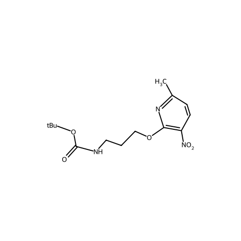 Cc1ccc([N+](=O)[O-])c(OCCCNC(=O)OC(C)(C)C)n1